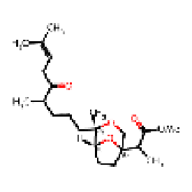 COC(=O)C(C)[C@@]12CC[C@@H](O1)[C@](C)(CCCC(C)C(=O)CC=C(C)C)OC2